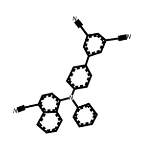 N#Cc1cc(C#N)cc(-c2ccc(N(c3ccccc3)c3ccc(C#N)c4ccccc34)cc2)c1